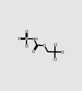 O=C(NS(=O)(=O)Cl)OCC(Cl)(Cl)Cl